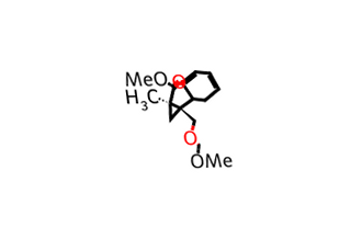 COCOC[C@@]1(C2C=CC=CC2)C[C@@]1(C)C(=O)OC